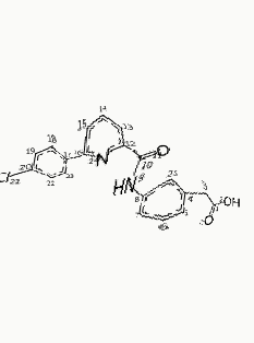 O=C(O)Cc1cccc(NC(=O)c2cccc(-c3ccc(Cl)cc3)n2)c1